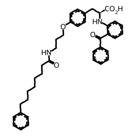 O=C(CCCCCCCc1ccccc1)NCCCOc1ccc(C[C@H](Nc2ccccc2C(=O)c2ccccc2)C(=O)O)cc1